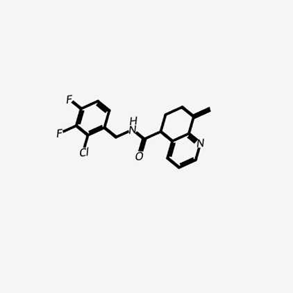 C=C1CCC(C(=O)NCc2ccc(F)c(F)c2Cl)c2cccnc21